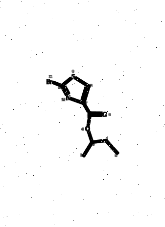 CCC(C)OC(=O)c1csc(Br)n1